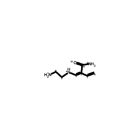 C=C/C(=C/NCCN)C(N)=O